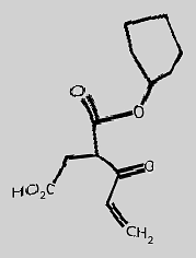 C=CC(=O)C(CC(=O)O)C(=O)OC1CCCCC1